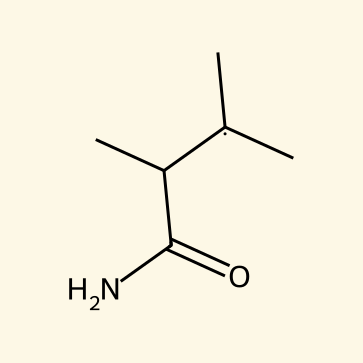 C[C](C)C(C)C(N)=O